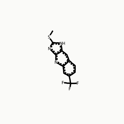 CSc1nc2nc3cc(C(F)(F)F)ccc3cc2[nH]1